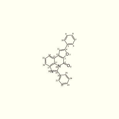 O=c1c2oc(-c3ccccc3)cc2c2cccc3nc(-c4ccccc4)n1c32